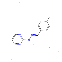 Cc1ccc(/C=N/Nc2ncccn2)cc1